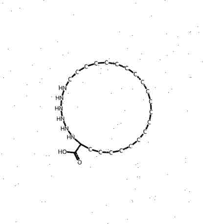 O=C(O)C1CCCCCCCCCCCCCCCCCCCCNNNNNN1